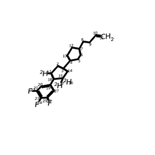 [2H]C1CC(C2CCC(CCC=C)CC2)CC([2H])([2H])C1c1cc(F)c(F)c(F)c1